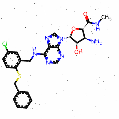 CNC(=O)[C@H]1O[C@@H](n2cnc3c(NCc4cc(Cl)ccc4SCc4ccccc4)ncnc32)[C@H](O)[C@@H]1N